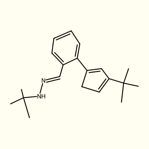 CC(C)(C)NN=Cc1ccccc1C1=CC(C(C)(C)C)=CC1